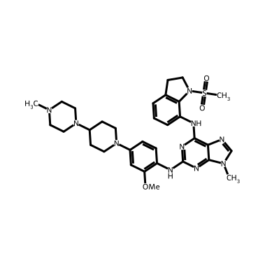 COc1cc(N2CCC(N3CCN(C)CC3)CC2)ccc1Nc1nc(Nc2cccc3c2N(S(C)(=O)=O)CC3)c2ncn(C)c2n1